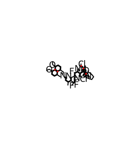 COc1ccc(CN(Cc2ccc(OC)cc2)c2cc(C)c(C(F)(F)F)c(-c3nc(Cl)c4c(N5CC6CCC(C5)N6C(=O)OC(C)(C)C)nc(Cl)nc4c3F)n2)cc1